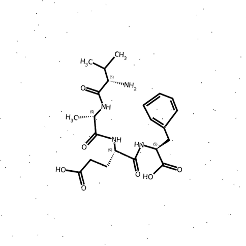 CC(C)[C@H](N)C(=O)N[C@@H](C)C(=O)N[C@@H](CCC(=O)O)C(=O)N[C@@H](Cc1ccccc1)C(=O)O